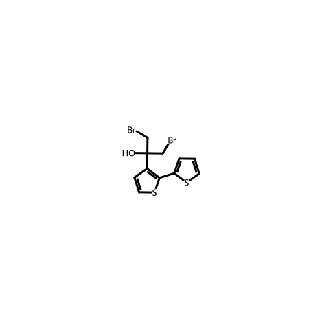 OC(CBr)(CBr)c1ccsc1-c1cccs1